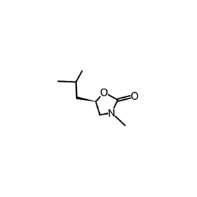 CC(C)C[C@@H]1CN(C)C(=O)O1